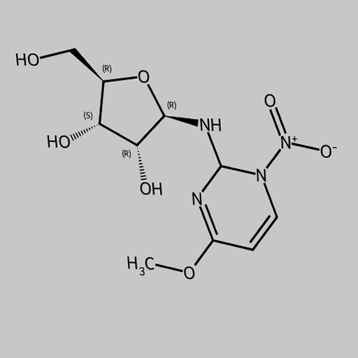 COC1=NC(N[C@@H]2O[C@H](CO)[C@@H](O)[C@H]2O)N([N+](=O)[O-])C=C1